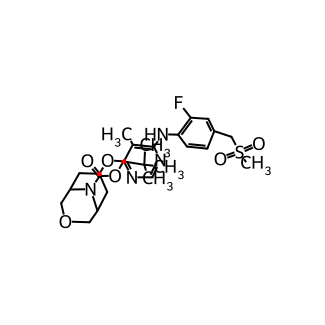 Cc1c(Nc2ccc(CS(C)(=O)=O)cc2F)ncnc1OC1CC2COCC(C1)N2C(=O)OCC(C)(C)C